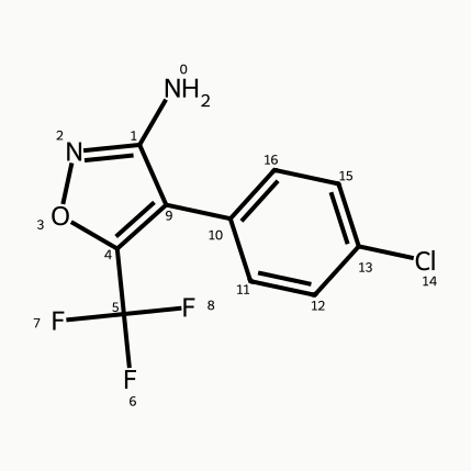 Nc1noc(C(F)(F)F)c1-c1ccc(Cl)cc1